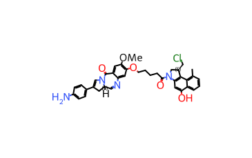 COc1cc2c(cc1OCCCCC(=O)N1C[C@@H](CCl)c3c1cc(O)c1cccc(C)c31)N=C[C@@H]1CC(c3ccc(N)cc3)=CN1C2=O